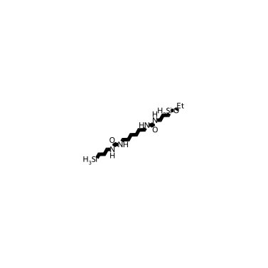 CCO[SiH2]CCCNC(=O)NCCCCCCNC(=O)NCCC[SiH3]